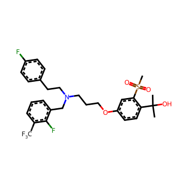 CC(C)(O)c1ccc(OCCCN(CCc2ccc(F)cc2)Cc2cccc(C(F)(F)F)c2F)cc1S(C)(=O)=O